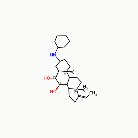 C/C=C1/CCC2C3C(CC[C@]12C)[C@@]1(C)CCC(NC2CCCCC2)CC1[C@@H](O)[C@@H]3O